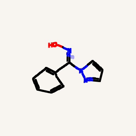 O/N=C(\c1ccccc1)n1cccn1